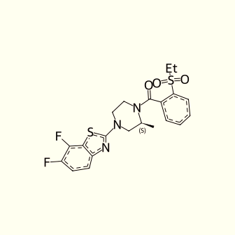 CCS(=O)(=O)c1ccccc1C(=O)N1CCN(c2nc3ccc(F)c(F)c3s2)C[C@@H]1C